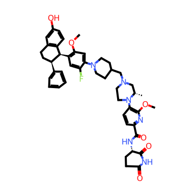 COc1cc(N2CCC(CN3CCN(c4ccc(C(=O)N[C@H]5CCC(=O)NC5=O)nc4OC)[C@@H](C)C3)CC2)c(F)cc1[C@@H]1c2ccc(O)cc2CC[C@@H]1c1ccccc1